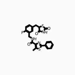 Cc1sc(-c2ccccc2)nc1C(=O)NCc1cc(CC2SC(=O)NC2=O)ccc1F